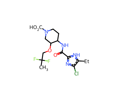 CCc1[nH]c(C(=O)NC2CCN(C(=O)O)CC2OCC(C)(F)F)nc1Cl